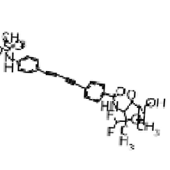 COC(C)(C(F)F)C(NC(=O)c1ccc(C#CC#Cc2ccc(NS(C)(=O)=O)cc2)cc1)C(=O)NO